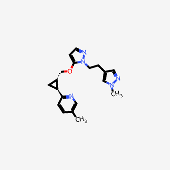 Cc1ccc([C@H]2C[C@@H]2COc2ccnn2CCc2cnn(C)c2)nc1